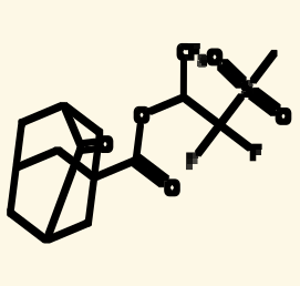 CS(=O)(=O)C(F)(F)C(OC(=O)C12CC3CC(C1)C(=O)C(C3)C2)C(F)(F)F